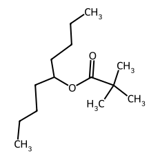 CCCCC(CCCC)OC(=O)C(C)(C)C